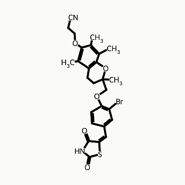 Cc1c(C)c2c(c(C)c1OCCC#N)CCC(C)(COc1ccc(/C=C3/SC(=O)NC3=O)cc1Br)O2